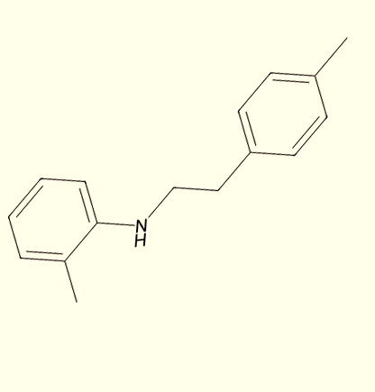 Cc1ccc(CCNc2ccccc2C)cc1